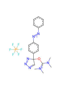 CN(C)C(OC1(c2ccc(/N=N/c3ccccc3)cc2)C=NN=N1)=[N+](C)C.F[P-](F)(F)(F)(F)F